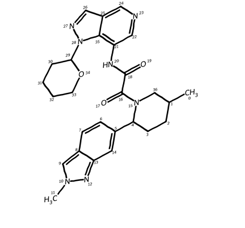 CC1CCC(c2ccc3cn(C)nc3c2)N(C(=O)C(=O)Nc2cncc3cnn(C4CCCCO4)c23)C1